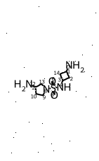 NC1CC(NS(=O)(=O)N2CCC(N)C2)C1